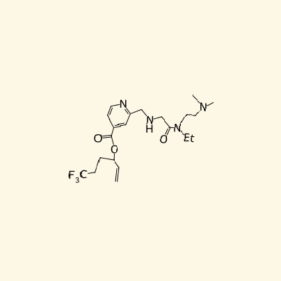 C=CC(CCC(F)(F)F)OC(=O)c1ccnc(CNCC(=O)N(CC)CCN(C)C)c1